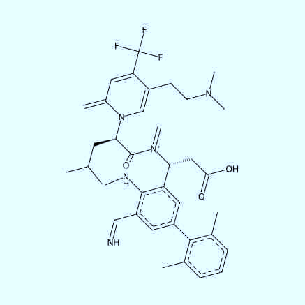 C=C1C=C(C(F)(F)F)C(CCN(C)C)=CN1[C@H](CC(C)C)C(=O)[N+](=C)[C@H](CC(=O)O)c1cc(-c2c(C)cccc2C)cc(C=N)c1NC